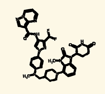 CN(CC1CCN(c2cccc3c2n(C)c(=O)n3C2CCC(=O)NC2=O)CC1)c1ccc(-n2cc(NC(=O)c3cnn4cccnc34)c(C(F)F)n2)cc1